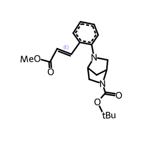 COC(=O)/C=C/c1ccccc1N1CC2CC1CN2C(=O)OC(C)(C)C